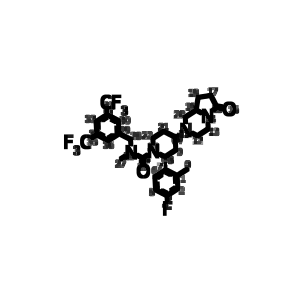 Cc1cc(F)ccc1[C@H]1C[C@@H](N2CCN3C(=O)CCC3C2)CCN1C(=O)N(C)Cc1cc(C(F)(F)F)cc(C(F)(F)F)c1